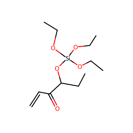 C=CC(=O)C(CC)O[Si](OCC)(OCC)OCC